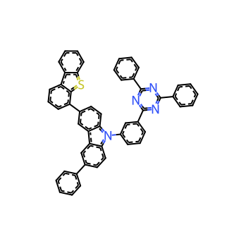 c1ccc(-c2ccc3c(c2)c2cc(-c4cccc5c4sc4ccccc45)ccc2n3-c2cccc(-c3nc(-c4ccccc4)nc(-c4ccccc4)n3)c2)cc1